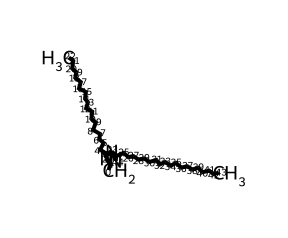 [CH2]c1nc(CCCCCCCCCCCCCCCCCCC)nc(CCCCCCCCCCCCCCCCCCC)n1